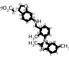 Cc1ccc2nc(C)n(-c3cccc(CNc4ccc5c(c4)OC[C@H]5CC(=O)O)c3C)c2c1